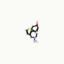 CN1CC[C@@]2(C=CC(=O)CC2)c2sccc2C1